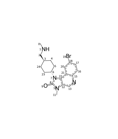 CNC[C@H]1CC[C@H](n2c(=O)n(C)c3cnc4ccc(Br)cc4c32)CC1